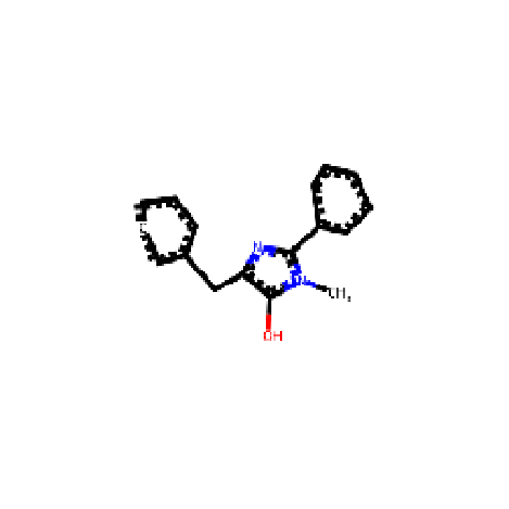 Cn1c(-c2ccccc2)nc(Cc2ccccc2)c1O